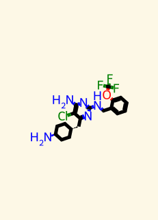 Nc1nc(NCc2ccccc2OC(F)(F)F)nc(C[C@H]2CC[C@H](N)CC2)c1Cl